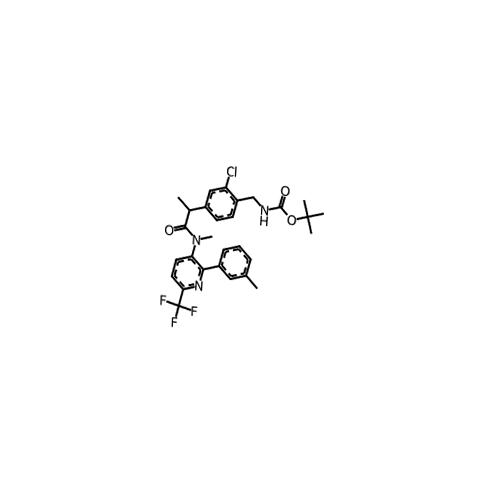 Cc1cccc(-c2nc(C(F)(F)F)ccc2N(C)C(=O)C(C)c2ccc(CNC(=O)OC(C)(C)C)c(Cl)c2)c1